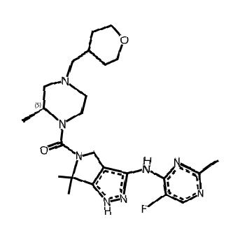 Cc1ncc(F)c(Nc2n[nH]c3c2CN(C(=O)N2CCN(CC4CCOCC4)C[C@@H]2C)C3(C)C)n1